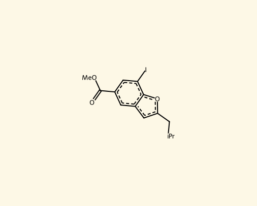 COC(=O)c1cc(I)c2oc(CC(C)C)cc2c1